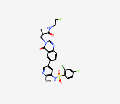 COc1ncc(-c2ccc3ncn(C[C@@H](C)C(=O)NCCF)c(=O)c3c2)cc1NS(=O)(=O)c1ccc(F)cc1Cl